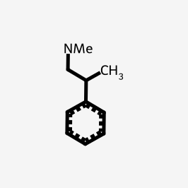 [CH2-][NH2+]CC(C)c1ccccc1